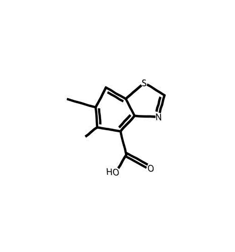 Cc1cc2scnc2c(C(=O)O)c1C